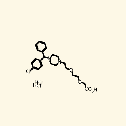 Cl.Cl.O=C(O)COCCOCCN1CCN(C(c2ccccc2)c2ccc(Cl)cc2)CC1